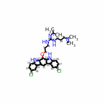 CC(C)/N=C(/NCCCOc1c2[nH]c3ccc(Cl)cc3c2cc2c1[nH]c1ccc(Cl)cc12)NCCCN(C)C